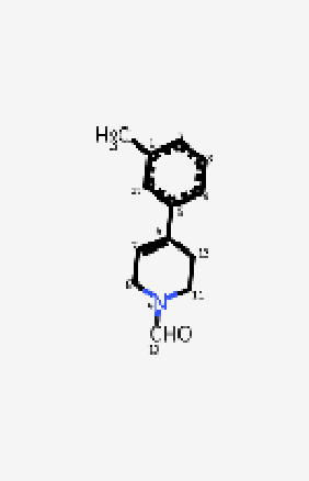 Cc1cccc(C2=CCN(C=O)CC2)c1